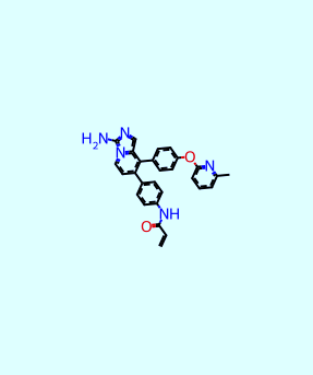 C=CC(=O)Nc1ccc(-c2ccn3c(N)ncc3c2-c2ccc(Oc3cccc(C)n3)cc2)cc1